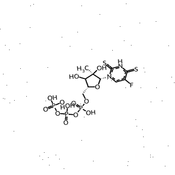 C[C@@]1(O)C(O)[C@@H](COP(=O)(O)OP(=O)(O)OP(=O)(O)O)O[C@H]1n1cc(F)c(=S)[nH]c1=S